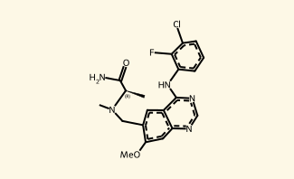 COc1cc2ncnc(Nc3cccc(Cl)c3F)c2cc1CN(C)[C@H](C)C(N)=O